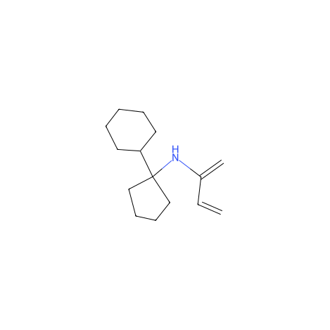 C=CC(=C)NC1(C2CCCCC2)CCCC1